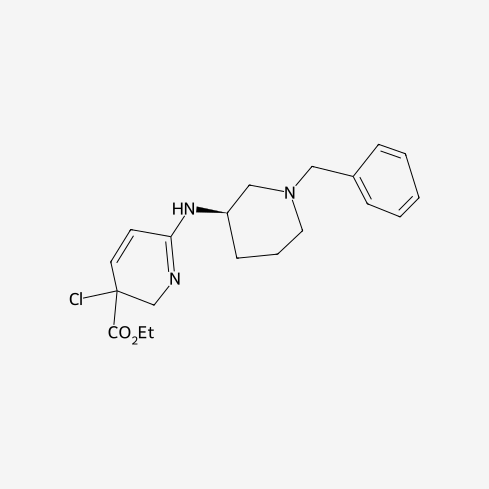 CCOC(=O)C1(Cl)C=CC(N[C@@H]2CCCN(Cc3ccccc3)C2)=NC1